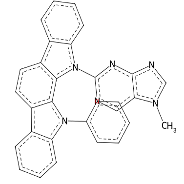 Cn1cnc2nc(-n3c4ccccc4c4ccc5c6ccccc6n(-c6ccccc6)c5c43)ncc21